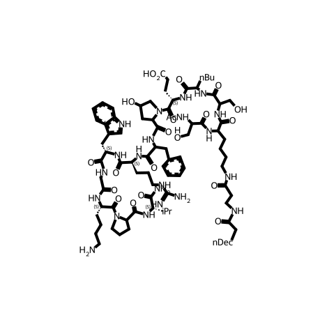 CCCCCCCCCCCC(=O)NCCC(=O)NCCCCC(NC(=O)C(CO)NC(C)=O)C(=O)NC(CO)C(=O)NC(CCCC)C(=O)N[C@@H](CCC(=O)O)C(=O)N1CC(O)CC1C(=O)NC(Cc1ccccc1)C(=O)N[C@@H](CCCNC(=N)N)C(=O)N[C@@H](Cc1c[nH]c2ccccc12)C(=O)NCC(=O)N[C@@H](CCCCN)C(=O)N1CCCC1C(=O)N[C@H](C(N)=O)C(C)C